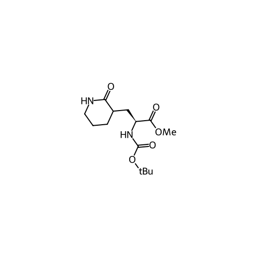 COC(=O)[C@H](CC1CCCNC1=O)NC(=O)OC(C)(C)C